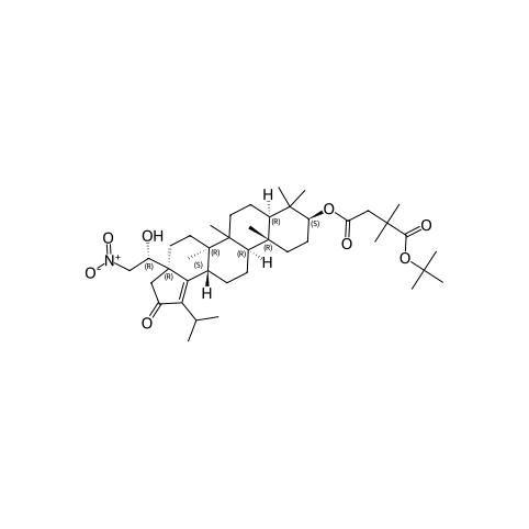 CC(C)C1=C2[C@H]3CC[C@H]4C(C)(CC[C@H]5C(C)(C)[C@@H](OC(=O)CC(C)(C)C(=O)OC(C)(C)C)CC[C@@]54C)[C@]3(C)CC[C@@]2([C@@H](O)C[N+](=O)[O-])CC1=O